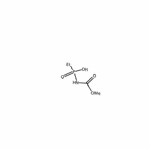 CCP(=O)(O)NC(=O)OC